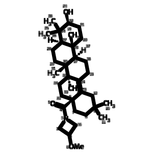 COC1CN(C(=O)[C@]23CCC(C)(C)CC2=C2CC[C@@H]4[C@@]5(C)CC[C@H](O)C(C)(C)[C@@H]5CC[C@@]4(C)[C@]2(C)CC3)C1